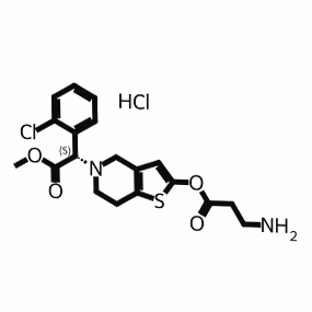 COC(=O)[C@H](c1ccccc1Cl)N1CCc2sc(OC(=O)CCN)cc2C1.Cl